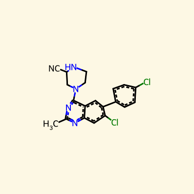 Cc1nc(N2CCNC(C#N)C2)c2cc(-c3ccc(Cl)cc3)c(Cl)cc2n1